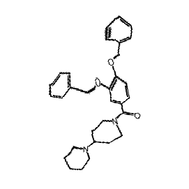 O=C(c1ccc(OCc2ccccc2)c(OCc2ccccc2)c1)N1CCC(N2CCCCC2)CC1